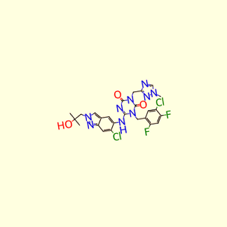 Cn1cnc(Cn2c(=O)nc(Nc3cc4cn(CC(C)(C)O)nc4cc3Cl)n(Cc3cc(Cl)c(F)cc3F)c2=O)n1